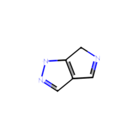 C1=NCC2=C1C=N[N]2